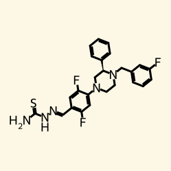 NC(=S)N/N=C/c1cc(F)c(N2CCN(Cc3cccc(F)c3)[C@H](c3ccccc3)C2)cc1F